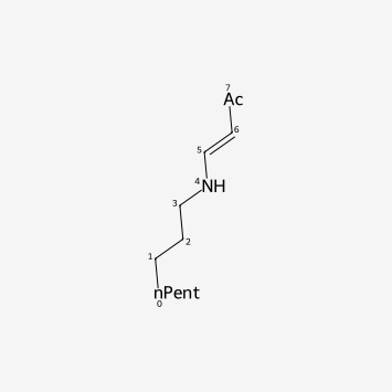 CCCCCCCCNC=CC(C)=O